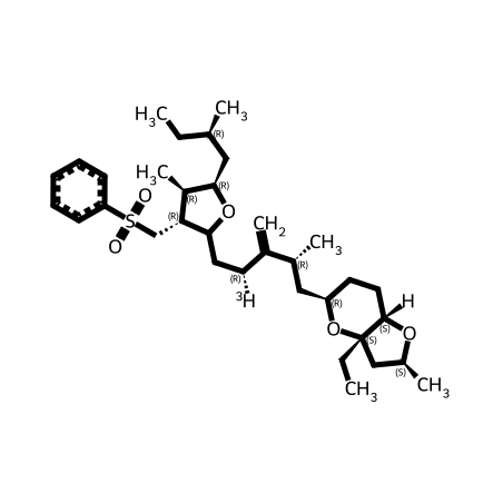 [3H][C@H](CC1O[C@H](C[C@H](C)CC)[C@H](C)[C@H]1CS(=O)(=O)c1ccccc1)C(=C)[C@H](C)C[C@H]1CC[C@@H]2O[C@@H](C)C[C@]2(CC)O1